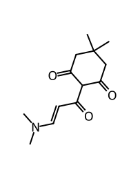 CN(C)C=CC(=O)C1C(=O)CC(C)(C)CC1=O